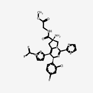 COC(=O)CNC(=O)[C@@]1(N)CC2=C(c3ccn(C(F)F)n3)[C@H](c3ccc(F)cc3Cl)N=C(c3nccs3)N2C1